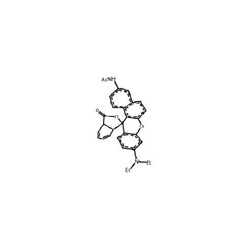 CCN(CC)c1ccc2c(c1)Oc1ccc3cc(NC(C)=O)ccc3c1C21OC(=O)C2C=CC=CC21